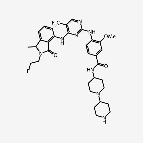 COc1cc(C(=O)NC2CCN(C3CCNCC3)CC2)ccc1Nc1ncc(C(F)(F)F)c(Nc2cccc3c2C(=O)N(CCF)C3C)n1